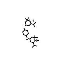 CC(C)C1CC(OC2CCC(OC3CC(C(C)C)NC(C)(C)C3)CC2)CC(C)(C)N1